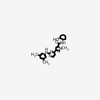 Cc1cc(C)cc(Nc2nccc(-c3cc(C(=O)N[C@H]4CCCC[C@@H]4O)n(C)n3)n2)c1